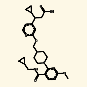 COc1ccc(C(=O)NCC2CC2)c(N2CCC(COc3cc(C(CC(=O)O)C4CC4)ccn3)CC2)c1